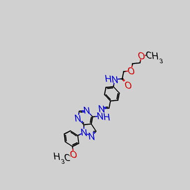 COCCOCC(=O)Nc1ccc(/C=N/Nc2ncnc3c2cnn3-c2cccc(OC)c2)cc1